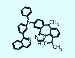 CC(C)c1cccc2c1-n1ccnc1-c1cc(N(c3ccccc3)c3cccc(-c4nccc5ccccc45)c3)ccc1C2C